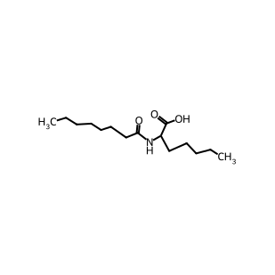 CCCCCCCC(=O)NC(CCCCC)C(=O)O